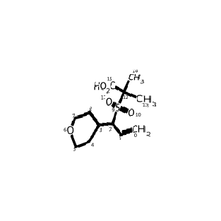 C=CC(C1CCOCC1)S(=O)(=O)C(C)(C)C(=O)O